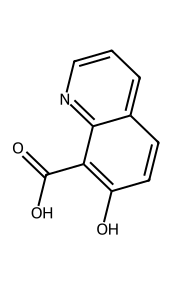 O=C(O)c1c(O)ccc2cccnc12